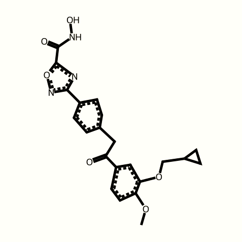 COc1ccc(C(=O)Cc2ccc(-c3noc(C(=O)NO)n3)cc2)cc1OCC1CC1